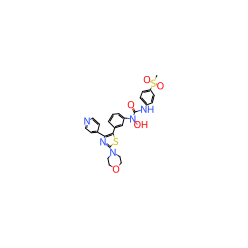 CS(=O)(=O)c1ccc(NC(=O)N(O)c2cccc(-c3sc(N4CCOCC4)nc3-c3ccncc3)c2)cc1